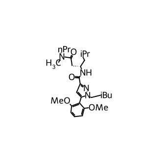 CCCN(C)C(=O)C[C@H](CC(C)C)NC(=O)c1cc(-c2c(OC)cccc2OC)n(CC(C)CC)n1